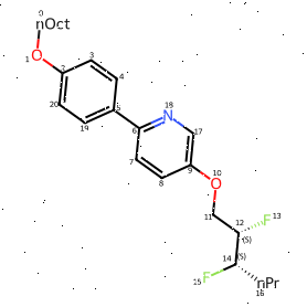 CCCCCCCCOc1ccc(-c2ccc(OC[C@H](F)[C@@H](F)CCC)cn2)cc1